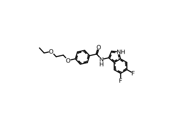 CCOCCOc1ccc(C(=O)Nc2c[nH]c3cc(F)c(F)cc23)cc1